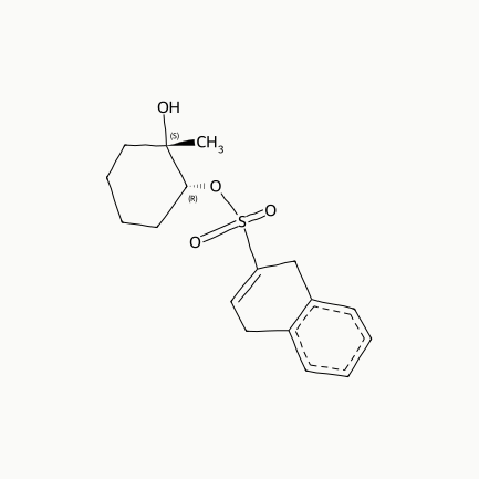 C[C@]1(O)CCCC[C@H]1OS(=O)(=O)C1=CCc2ccccc2C1